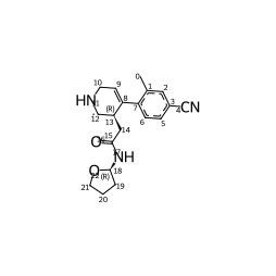 Cc1cc(C#N)ccc1C1=CCN[CH][C@@H]1CC(=O)N[C@H]1CCCO1